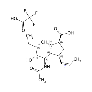 C/C=C\[C@@H]1C[C@H](C(=O)O)N[C@H]1[C@@H](NC(C)=O)[C@H](O)[C@@H](C)CC.O=C(O)C(F)(F)F